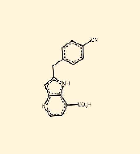 N#Cc1ccc(Cc2cc3nccc(C(=O)O)c3[nH]2)cc1